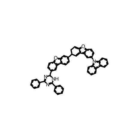 C1=c2oc3ccc(-n4c5ccccc5c5ccccc54)cc3c2=CC(c2ccc3c(c2)oc2ccc(C4N=C(c5ccccc5)N=C(c5ccccc5)N4)cc23)C1